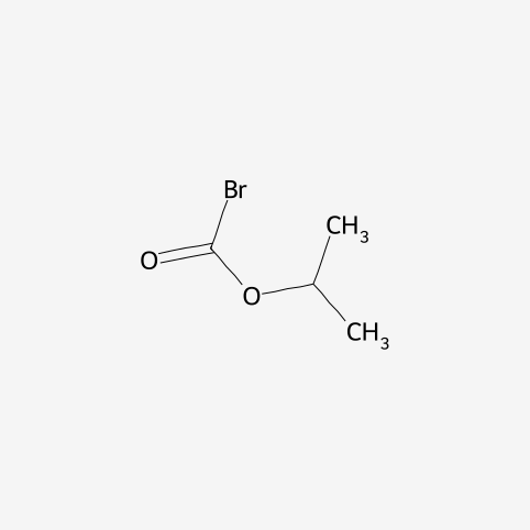 CC(C)OC(=O)Br